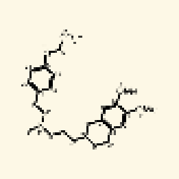 COc1cc2c(cc1OC)CC(CCCN(C)CCc1ccc(OCC(=O)O)cc1)CC2